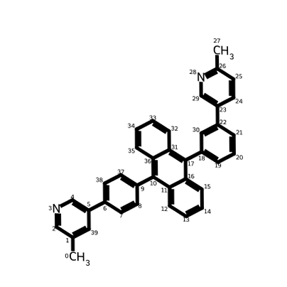 Cc1cncc(-c2ccc(-c3c4ccccc4c(-c4cccc(-c5ccc(C)nc5)c4)c4ccccc34)cc2)c1